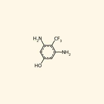 Nc1cc(O)cc(N)c1C(F)(F)F